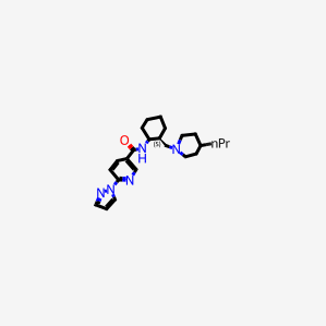 CCCC1CCN(C[C@@H]2CCCCC2NC(=O)c2ccc(-n3cccn3)nc2)CC1